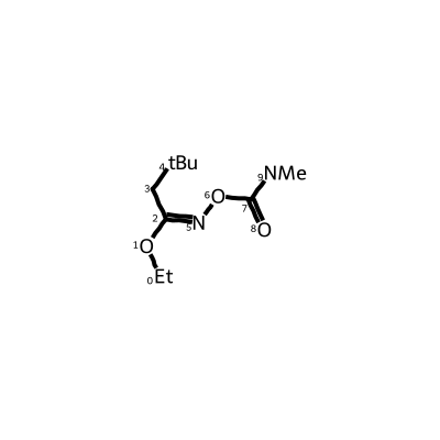 CCOC(CC(C)(C)C)=NOC(=O)NC